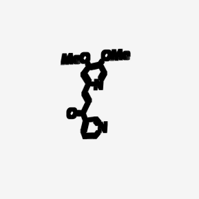 COc1cnc(/C=C/C(=O)c2cccnc2)cc1OC